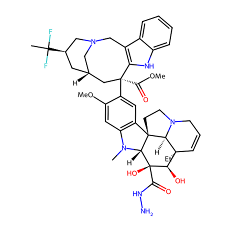 CC[C@]12C=CCN3CC[C@@]4(c5cc([C@@]6(C(=O)OC)C[C@@H]7C[C@@H](C(C)(F)F)CN(Cc8c6[nH]c6ccccc86)C7)c(OC)cc5N(C)[C@H]4[C@@](O)(C(=O)NN)[C@@H]1O)[C@@H]32